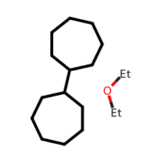 C1CCCC(C2CCCCCC2)CC1.CCOCC